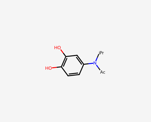 CC(=O)N(c1ccc(O)c(O)c1)C(C)C